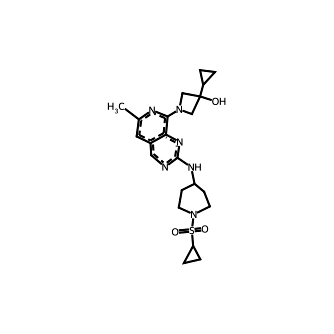 Cc1cc2cnc(NC3CCN(S(=O)(=O)C4CC4)CC3)nc2c(N2CC(O)(C3CC3)C2)n1